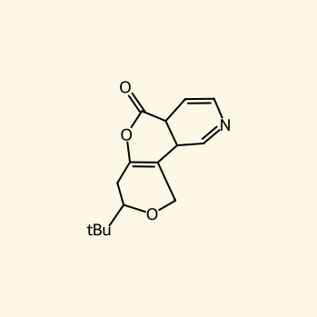 CC(C)(C)C1CC2=C(CO1)C1C=NC=CC1C(=O)O2